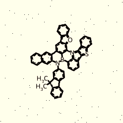 CC1(C)c2ccccc2-c2ccc(N3B4c5c(cc6c(oc7ccccc76)c5-n5c6c4cccc6c4sc6ccccc6c45)-c4cc5ccccc5cc43)cc21